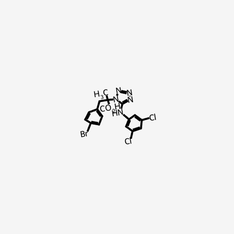 CC(Cc1ccc(Br)cc1)(C(=O)O)n1nnnc1Nc1cc(Cl)cc(Cl)c1